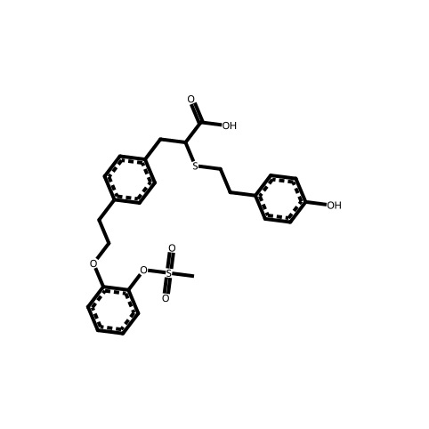 CS(=O)(=O)Oc1ccccc1OCCc1ccc(CC(SCCc2ccc(O)cc2)C(=O)O)cc1